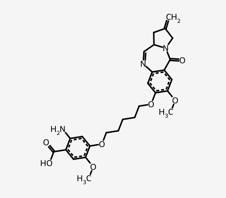 C=C1CC2C=Nc3cc(OCCCCCOc4cc(N)c(C(=O)O)cc4OC)c(OC)cc3C(=O)N2C1